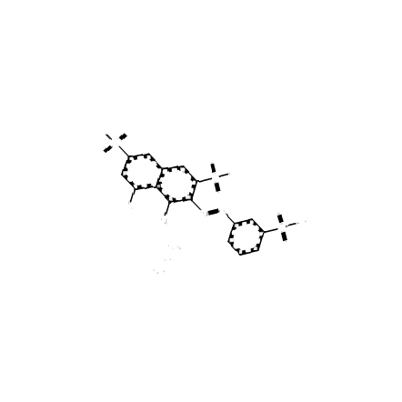 Nc1c(N=Nc2cccc(S(=O)(=O)O)c2)c(S(=O)(=O)O)cc2cc(S(=O)(=O)O)cc(O)c12.[NaH].[NaH].[NaH]